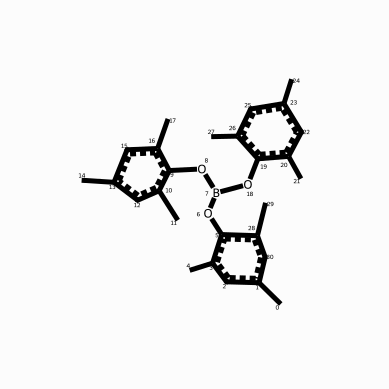 Cc1cc(C)c(OB(Oc2c(C)cc(C)cc2C)Oc2c(C)cc(C)cc2C)c(C)c1